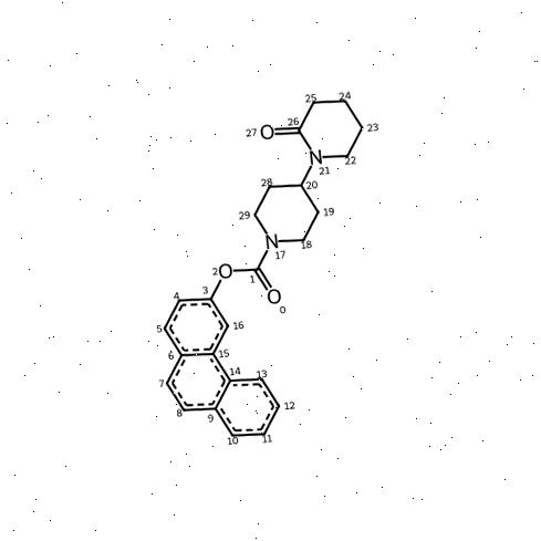 O=C(Oc1ccc2ccc3ccccc3c2c1)N1CCC(N2CCCCC2=O)CC1